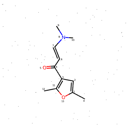 Cc1cc(C(=O)/C=C/N(C)C)c(C)o1